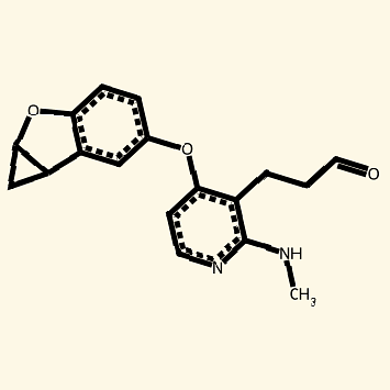 CNc1nccc(Oc2ccc3c(c2)C2CC2O3)c1CCC=O